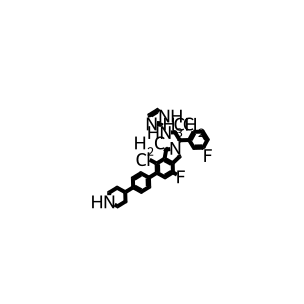 C=C(Nc1ncc[nH]1)C(c1cc(F)ccc1C)N1Cc2c(F)cc(-c3ccc(C4CCNCC4)cc3)c(Cl)c2C1=C